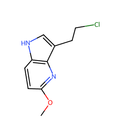 COc1ccc2[nH]cc(CCCl)c2n1